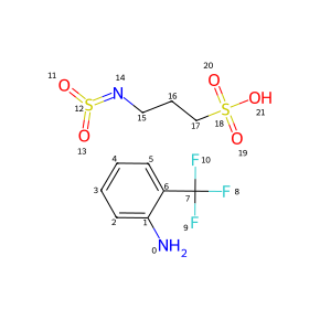 Nc1ccccc1C(F)(F)F.O=S(=O)=NCCCS(=O)(=O)O